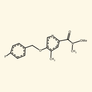 CON(C)C(=O)c1cc(C)c(OCc2ccc(F)cc2)cn1